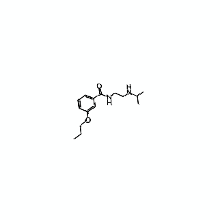 CCCOc1cccc(C(=O)NCCNC(C)C)c1